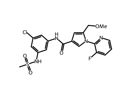 COCc1cc(C(=O)Nc2cc(Cl)cc(NS(C)(=O)=O)c2)cn1-c1ncccc1F